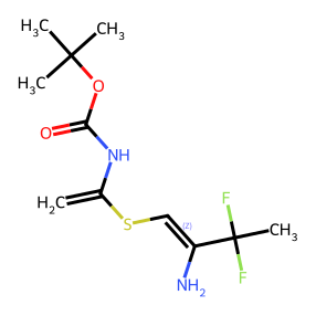 C=C(NC(=O)OC(C)(C)C)S/C=C(\N)C(C)(F)F